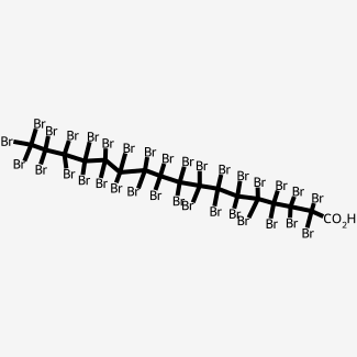 O=C(O)C(Br)(Br)C(Br)(Br)C(Br)(Br)C(Br)(Br)C(Br)(Br)C(Br)(Br)C(Br)(Br)C(Br)(Br)C(Br)(Br)C(Br)(Br)C(Br)(Br)C(Br)(Br)C(Br)(Br)C(Br)(Br)C(Br)(Br)C(Br)(Br)Br